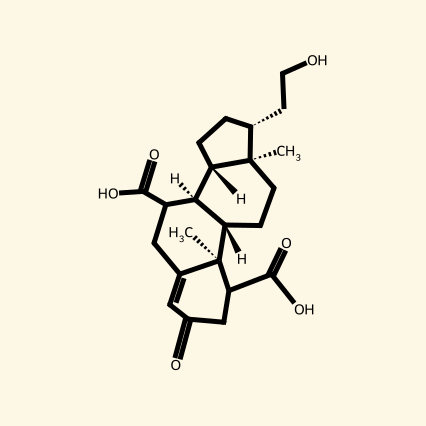 C[C@]12CC[C@H]3[C@@H](C(C(=O)O)CC4=CC(=O)CC(C(=O)O)[C@@]43C)[C@@H]1CC[C@@H]2CCO